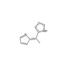 C/C(=C1\C=CC=N1)c1ccc[nH]1